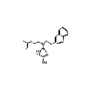 CC(=O)SCCN(CCc1ccc2ccccc2c1)C(=O)N[C@@H](C)C(=O)O